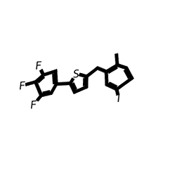 Cc1ccc(I)cc1Cc1ccc(-c2cc(F)c(F)c(F)c2)s1